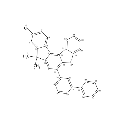 CC1(C)c2cc(Cl)ccc2-c2c1cc(-c1cccc(-c3ccccc3)c1)c1oc3ccccc3c21